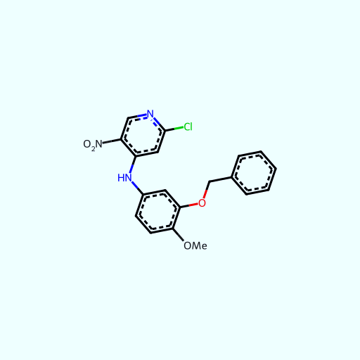 COc1ccc(Nc2cc(Cl)ncc2[N+](=O)[O-])cc1OCc1ccccc1